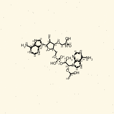 C[C@H](OP(=O)(O)OC[C@H]1O[C@@H](n2cnc3c(N)ncnc32)C(F)[C@H]1OC[PH](=O)O)[C@@H](OC(O)F)n1cnc2c(N)ncnc21